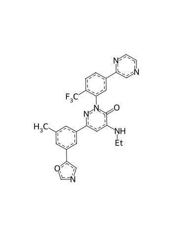 CCNc1cc(-c2cc(C)cc(-c3cnco3)c2)nn(-c2cc(-c3cnccn3)ccc2C(F)(F)F)c1=O